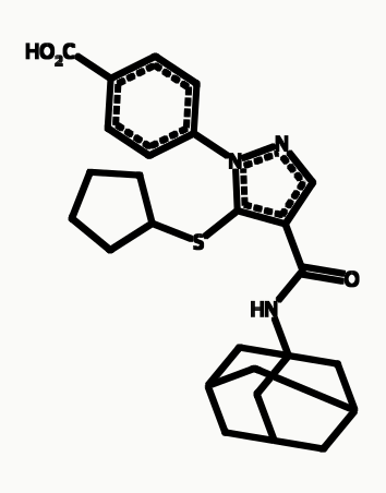 O=C(O)c1ccc(-n2ncc(C(=O)NC34CC5CC(CC(C5)C3)C4)c2SC2CCCC2)cc1